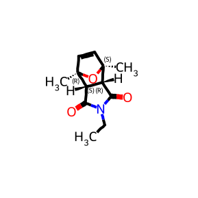 CCN1C(=O)[C@@H]2[C@H](C1=O)[C@@]1(C)C=C[C@]2(C)O1